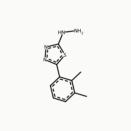 Cc1cccc(-c2nnc(NN)s2)c1C